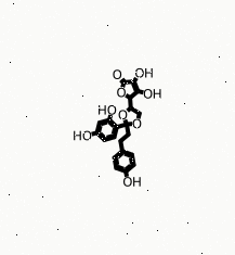 O=C1OC(C2COC(CCc3ccc(O)cc3)(c3ccc(O)cc3O)O2)C(O)=C1O